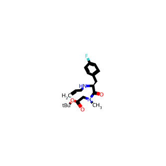 C=CCN[C@@H](Cc1ccc(F)cc1)C(=O)N(C)CC(=O)OC(C)(C)C